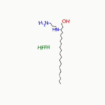 CCCCCCCCCCCCCCCCCC(CCO)NCCCN.F.F